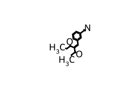 CCC(=O)C(=Cc1cccc(C#N)c1)C(=O)CC